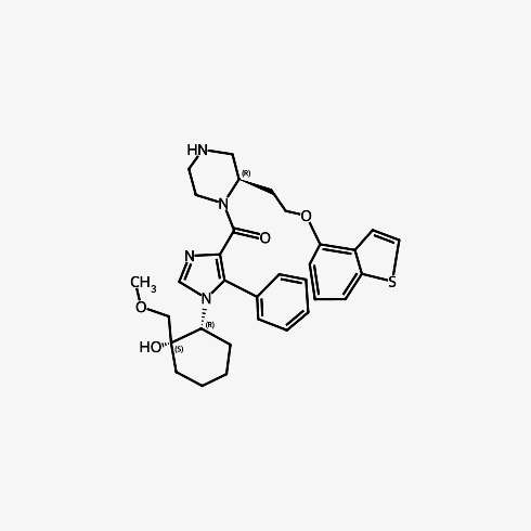 COC[C@]1(O)CCCC[C@H]1n1cnc(C(=O)N2CCNC[C@H]2CCOc2cccc3sccc23)c1-c1ccccc1